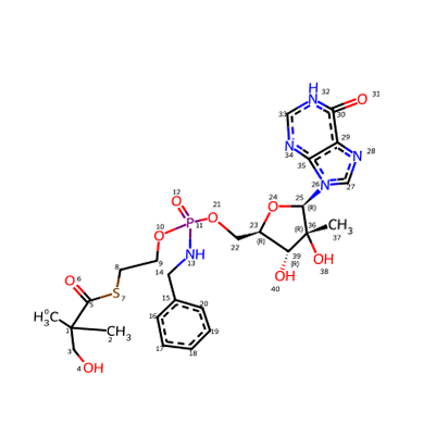 CC(C)(CO)C(=O)SCCOP(=O)(NCc1ccccc1)OC[C@H]1O[C@@H](n2cnc3c(=O)[nH]cnc32)[C@](C)(O)[C@@H]1O